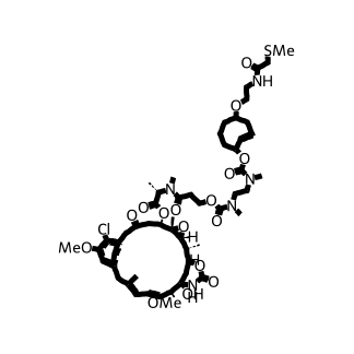 COc1cc2cc(c1Cl)CC(=O)C[C@H](OC(=O)[C@H](C)N(C)C(=O)CCOC(=O)N(C)CCN(C)C(=O)OC1/C=C/CC(OCCNC(=O)CSC)CCC1)[C@]1(C)O[C@H]1[C@H](C)[C@@H]1C[C@@](O)(NC(=O)O1)[C@H](OC)/C=C/C=C(\C)C2